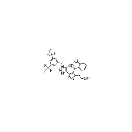 O=C(c1ccccc1Cl)c1c(CCO)noc1-c1nnn(Cc2cc(C(F)(F)F)cc(C(F)(F)F)c2)c1Cl